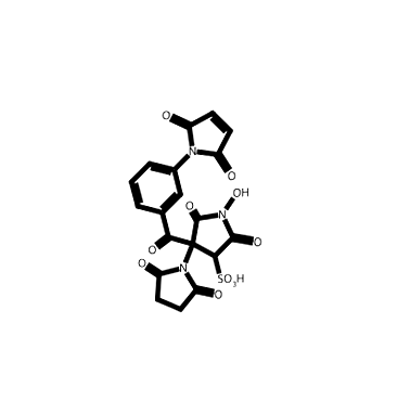 O=C1C(S(=O)(=O)O)C(C(=O)c2cccc(N3C(=O)C=CC3=O)c2)(N2C(=O)CCC2=O)C(=O)N1O